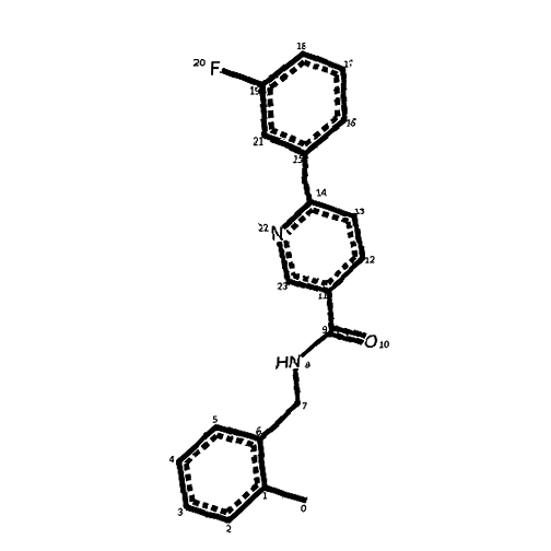 Cc1ccccc1CNC(=O)c1ccc(-c2cccc(F)c2)nc1